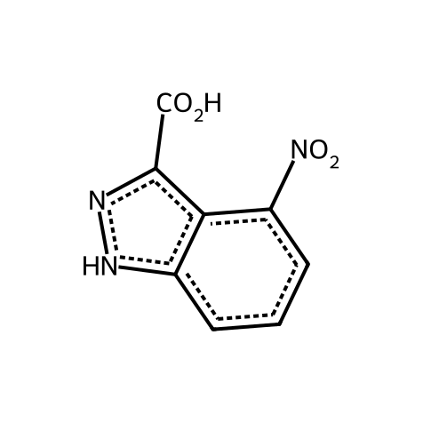 O=C(O)c1n[nH]c2cccc([N+](=O)[O-])c12